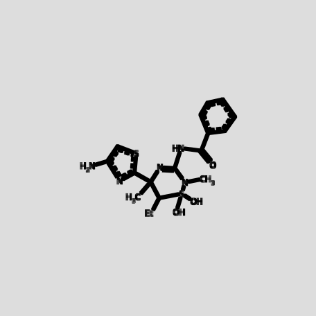 CCC1C(C)(c2nc(N)cs2)N=C(NC(=O)c2ccccc2)N(C)S1(O)O